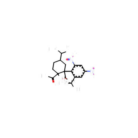 CC(=O)C1(C)CCC(C(C)C)CC1(C(C)=O)c1c(C(C)C)cc([N+](=O)[O-])cc1[N+](=O)[O-]